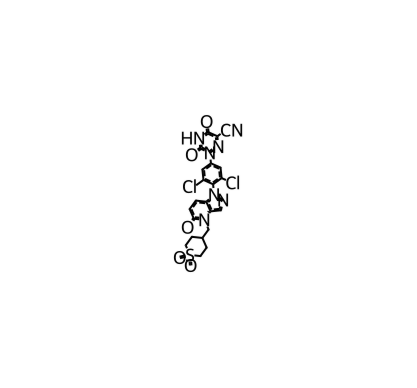 N#Cc1nn(-c2cc(Cl)c(-n3ncc4c3ccc(=O)n4CC3CCS(=O)(=O)CC3)c(Cl)c2)c(=O)[nH]c1=O